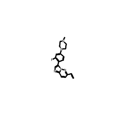 C=Cc1ccc2ncc(-c3ccc(N4CCN(C)CC4)cc3F)n2n1